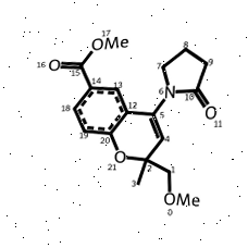 COCC1(C)C=C(N2CCCC2=O)c2cc(C(=O)OC)ccc2O1